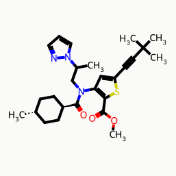 COC(=O)c1sc(C#CC(C)(C)C)cc1N(CC(C)n1cccn1)C(=O)[C@H]1CC[C@H](C)CC1